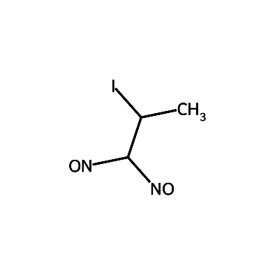 CC(I)C(N=O)N=O